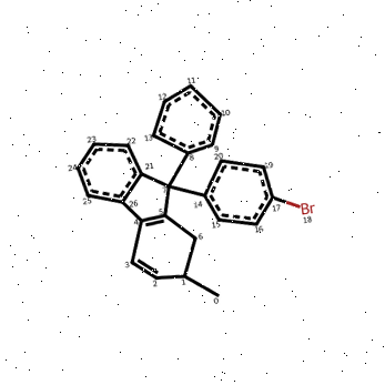 CC1C=CC2=C(C1)C(c1ccccc1)(c1ccc(Br)cc1)c1ccccc12